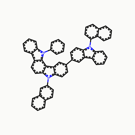 c1ccc(-n2c3ccccc3c3ccc4c(c5cc(-c6ccc7c(c6)c6ccccc6n7-c6cccc7ccccc67)ccc5n4-c4ccc5ccccc5c4)c32)cc1